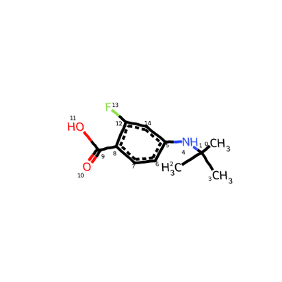 CC(C)(C)Nc1ccc(C(=O)O)c(F)c1